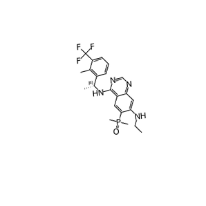 CCNc1cc2ncnc(N[C@H](C)c3cccc(C(F)(F)F)c3C)c2cc1P(C)(C)=O